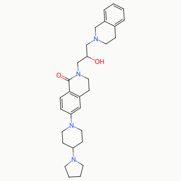 O=C1c2ccc(N3CCC(N4CCCC4)CC3)cc2CCN1CC(O)CN1CCc2ccccc2C1